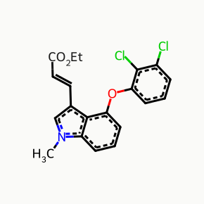 CCOC(=O)C=Cc1cn(C)c2cccc(Oc3cccc(Cl)c3Cl)c12